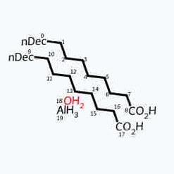 CCCCCCCCCCCCCCCCCC(=O)O.CCCCCCCCCCCCCCCCCC(=O)O.O.[AlH3]